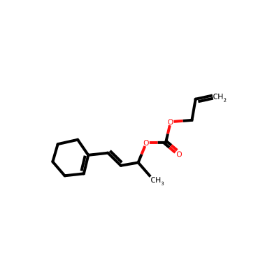 C=CCOC(=O)OC(C)/C=C/C1=CCCCC1